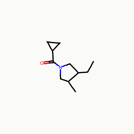 CCC1CN(C(=O)C2CC2)CC1C